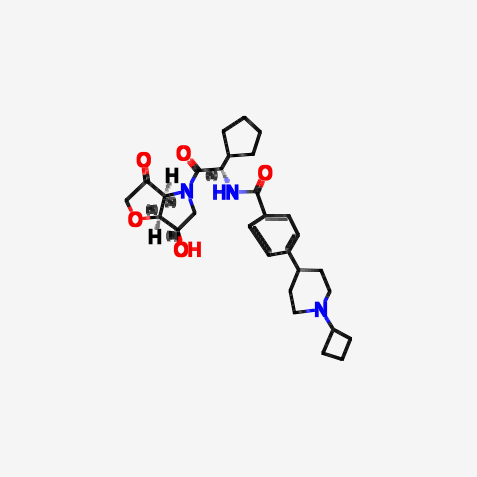 O=C(N[C@H](C(=O)N1C[C@@H](O)[C@H]2OCC(=O)[C@H]21)C1CCCC1)c1ccc(C2CCN(C3CCC3)CC2)cc1